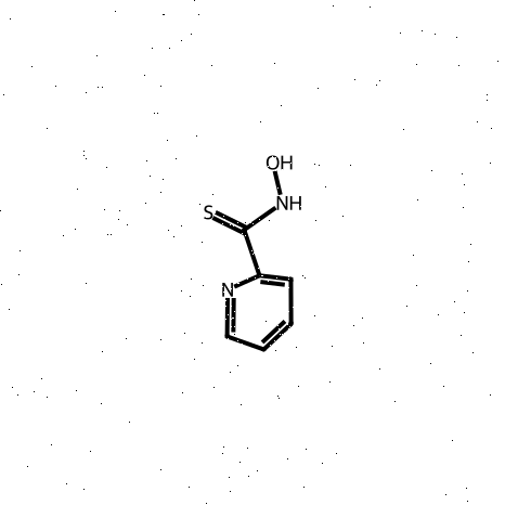 ONC(=S)c1ccccn1